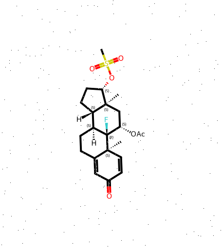 CC(=O)O[C@H]1C[C@]2(C)[C@@H](OS(C)(=O)=O)CC[C@H]2[C@@H]2CCC3=CC(=O)C=C[C@]3(C)[C@@]12F